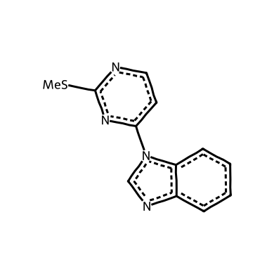 CSc1nccc(-n2cnc3ccccc32)n1